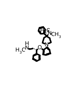 CNCC[C@H](Oc1ccccc1N1CCC(c2ccccc2)(N(C)C)CC1)c1ccccc1